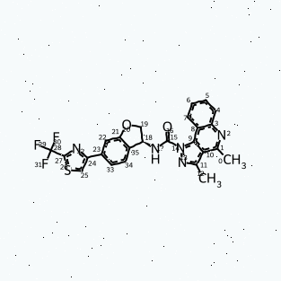 Cc1nc2ccccc2c2c1c(C)nn2C(=O)N[C@@H]1COc2cc(-c3csc(C(F)(F)F)n3)ccc21